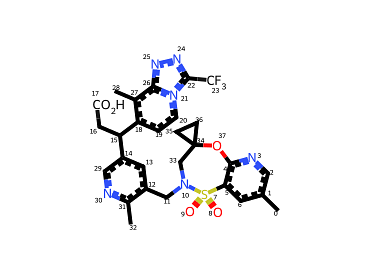 Cc1cnc2c(c1)S(=O)(=O)N(Cc1cc(C(CC(=O)O)c3ccn4c(C(F)(F)F)nnc4c3C)cnc1C)CC1(CC1)O2